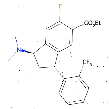 CCOC(=O)c1cc2c(cc1F)[C@H](N(C)C)C[C@H]2c1ccccc1C(F)(F)F